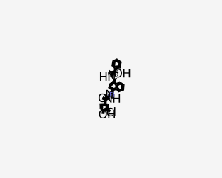 C[C@H](NCc1ccc(/C=N/NC(=O)c2ccc(O)c(Cl)c2)c2ccccc12)[C@H](O)c1ccccc1